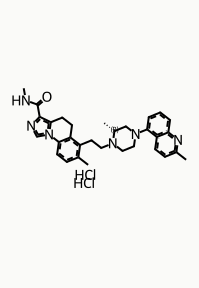 CNC(=O)c1ncn2c1CCc1c-2ccc(C)c1CCN1CCN(c2cccc3nc(C)ccc23)C[C@H]1C.Cl.Cl